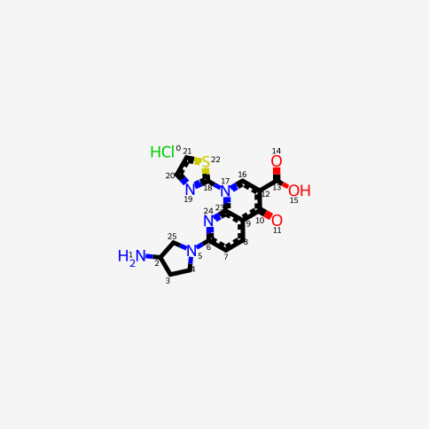 Cl.NC1CCN(c2ccc3c(=O)c(C(=O)O)cn(-c4nccs4)c3n2)C1